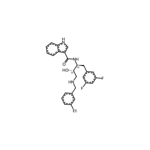 CCc1cccc(CNC[C@H](O)[C@H](Cc2cc(F)cc(F)c2)NC(=O)c2c[nH]c3ccccc23)c1